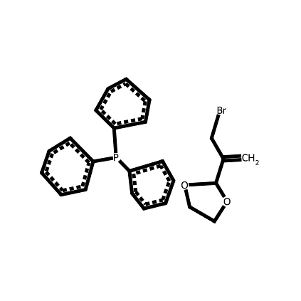 C=C(CBr)C1OCCO1.c1ccc(P(c2ccccc2)c2ccccc2)cc1